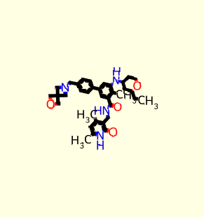 CCC1CC(Nc2cc(-c3ccc(CN4CC5(COC5)C4)cc3)cc(C(=O)NCc3c(C)cc(C)[nH]c3=O)c2C)CCO1